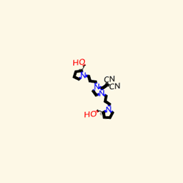 N#CC(C#N)=C1N(CCCN2CCC[C@@H]2CO)CCN1CCCN1CCC[C@@H]1CO